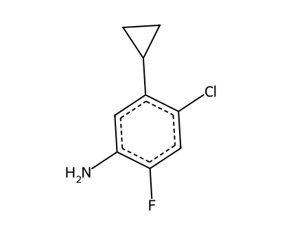 Nc1cc(C2CC2)c(Cl)cc1F